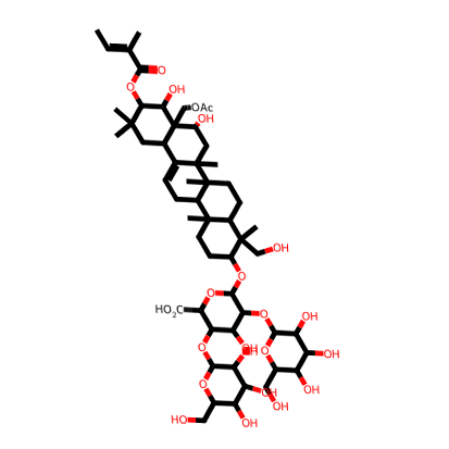 CC=C(C)C(=O)OC1C(O)C2(COC(C)=O)C(O)CC3(C)C(=CCC4C5(C)CCC(OC6OC(C(=O)O)C(OC7OC(CO)C(O)C(O)C7O)C(O)C6OC6OC(CO)C(O)C(O)C6O)C(C)(CO)C5CCC43C)C2CC1(C)C